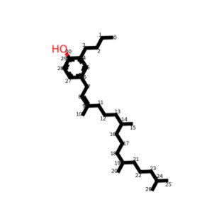 CCCCc1cc(CC=C(C)CCCC(C)CCCC(C)CCCC(C)C)ccc1O